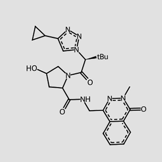 Cn1nc(CNC(=O)C2CC(O)CN2C(=O)[C@@H](n2cc(C3CC3)nn2)C(C)(C)C)c2ccccc2c1=O